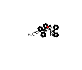 CCOc1cccc([Si](Cn2ccnc2BC(c2ccccc2)c2ccccc2)(c2ccccc2)c2ccccc2)c1